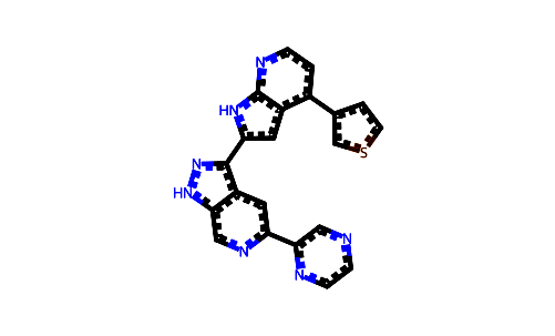 c1cnc(-c2cc3c(-c4cc5c(-c6ccsc6)ccnc5[nH]4)n[nH]c3cn2)cn1